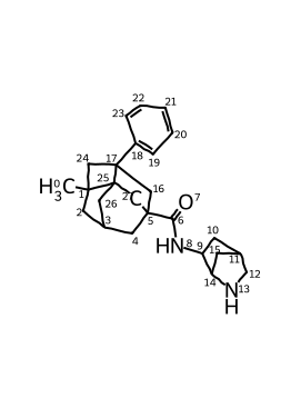 CC12CC3CC4(C(=O)NC5CC6CNC5C6)CC(c5ccccc5)(C1)C2(C3)C4